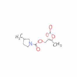 Cc1oc(=O)oc1COC(=O)N1CCC(C)C1